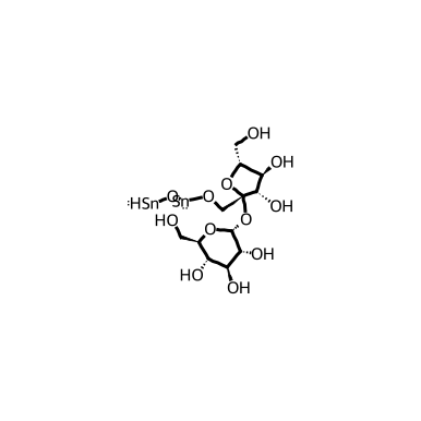 OC[C@H]1O[C@@](C[O][Sn][O][SnH])(O[C@H]2O[C@H](CO)[C@@H](O)[C@H](O)[C@H]2O)[C@@H](O)[C@@H]1O